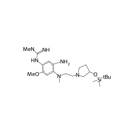 CNC(=N)Nc1cc(N)c(N(C)CCN2CCC(O[Si](C)(C)C(C)(C)C)C2)cc1OC